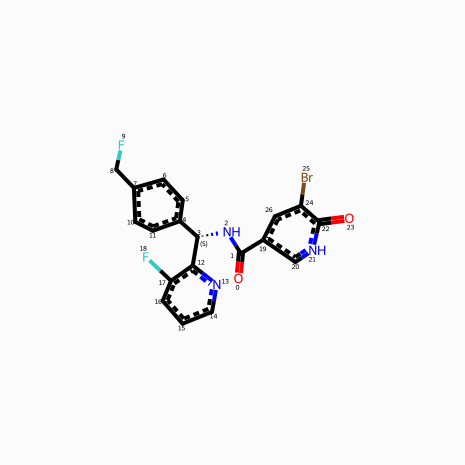 O=C(N[C@@H](c1ccc(CF)cc1)c1ncccc1F)c1c[nH]c(=O)c(Br)c1